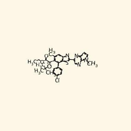 CCOC(=O)[C@@H](OC(C)(C)C)c1c(C)cc2nc(-c3cnc4c(ccn4C)n3)sc2c1-c1ccc(Cl)cc1